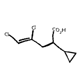 O=C(O)C(CC(Cl)=CCl)C1CC1